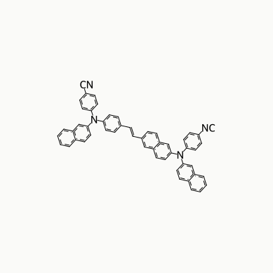 [C-]#[N+]c1ccc(N(c2ccc3ccccc3c2)c2ccc3cc(/C=C/c4ccc(N(c5ccc(C#N)cc5)c5ccc6ccccc6c5)cc4)ccc3c2)cc1